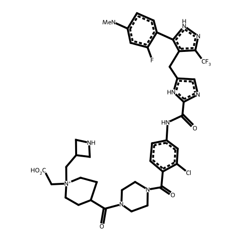 CNc1ccc(-c2[nH]nc(C(F)(F)F)c2Cc2cnc(C(=O)Nc3ccc(C(=O)N4CCN(C(=O)C5CC[N+](CC(=O)O)(CC6CNC6)CC5)CC4)c(Cl)c3)[nH]2)c(F)c1